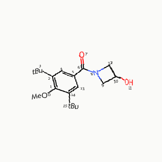 COc1c(C(C)(C)C)cc(C(=O)N2CC(O)C2)cc1C(C)(C)C